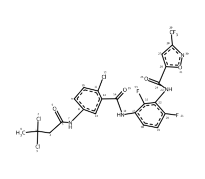 CC(Cl)(Cl)CC(=O)Nc1ccc(Cl)c(C(=O)Nc2ccc(F)c(NC(=O)c3cc(C(F)(F)F)no3)c2F)c1